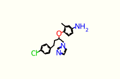 Cc1cc(N)ccc1OC(CCc1ccc(Cl)cc1)Cn1ccnc1